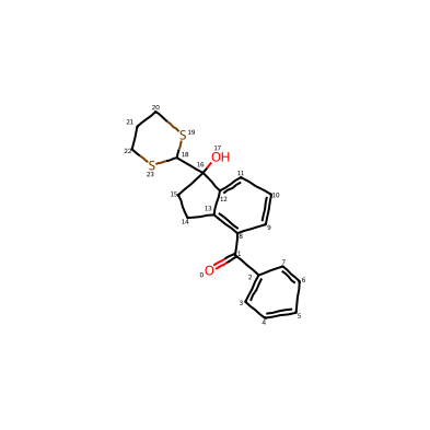 O=C(c1ccccc1)c1cccc2c1CCC2(O)C1SCCCS1